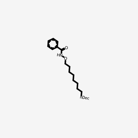 CCCCCCCCCCCCCCCCCCONC(=O)c1ccccc1